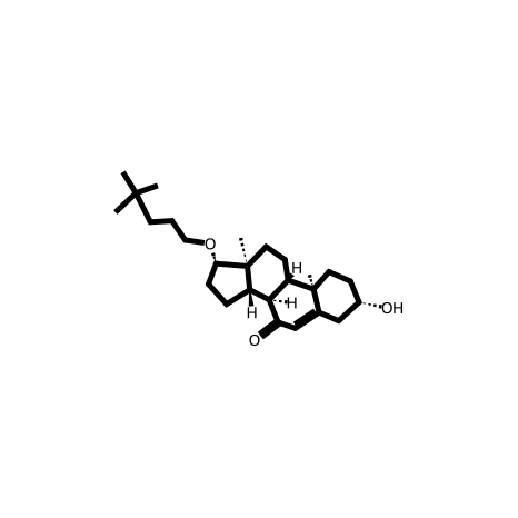 CC(C)(C)CCCO[C@H]1CC[C@H]2[C@@H]3C(=O)C=C4C[C@@H](O)CC[C@]4(C)[C@H]3CC[C@]12C